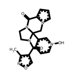 Cc1nocc1C(=O)N1CCN2C(=O)c3cccn3CC12c1ccc[n+](O)c1